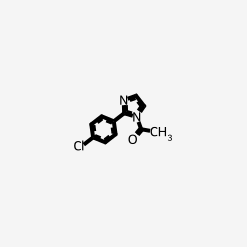 CC(=O)n1ccnc1-c1ccc(Cl)cc1